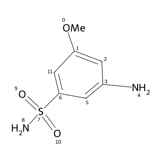 COc1cc(N)cc(S(N)(=O)=O)c1